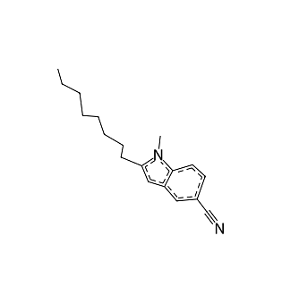 CCCCCCCCc1cc2cc(C#N)ccc2n1C